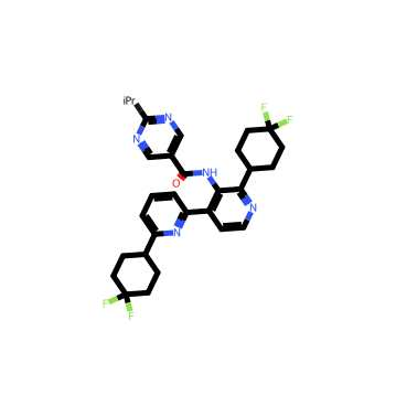 CC(C)c1ncc(C(=O)Nc2c(-c3cccc(C4CCC(F)(F)CC4)n3)ccnc2C2CCC(F)(F)CC2)cn1